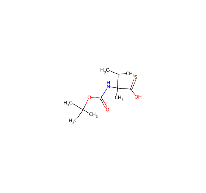 CC(C)C(C)(NC(=O)OC(C)(C)C)C(O)=S